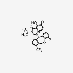 C[C@@H](N1CN([C@H]2c3cccc(C(F)(F)F)c3CSc3c(F)cccc32)n2ccc(=O)c(O)c2C1=O)C(F)(F)F